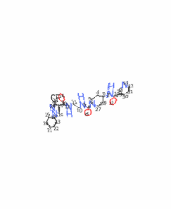 O=C(NC1CCN(C(=O)NCCNC(=O)c2cn(-c3ccccc3)nc2C(F)(F)F)CC1)c1cccnc1